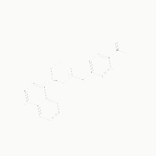 CCN(CC(O)Cc1ccc(C(=O)O)cc1)c1cccc2ccccc12